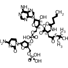 C=CCCC(=O)N[C@@H](CC(=O)SC(C)(C)C)C(=O)O[C@H]1[C@@H](O)[C@H](n2cnc3c(N)ncnc32)O[C@@H]1COP(=O)(O)O[C@H]1C[C@H](n2ccc(N)nc2=O)O[C@@H]1COP(=O)(O)O